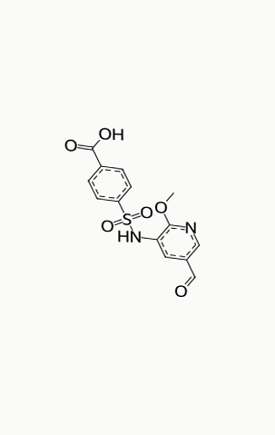 COc1ncc(C=O)cc1NS(=O)(=O)c1ccc(C(=O)O)cc1